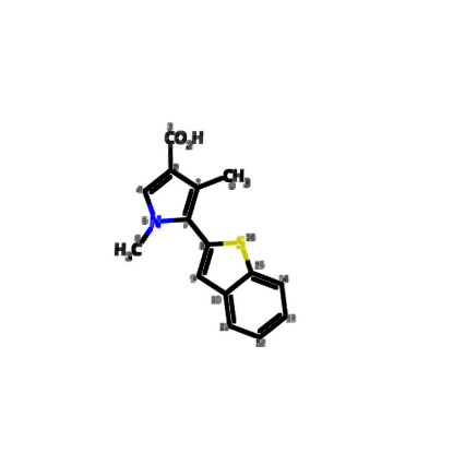 Cc1c(C(=O)O)cn(C)c1-c1cc2ccccc2s1